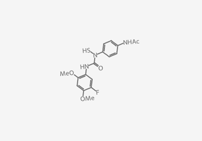 COc1cc(OC)c(NC(=O)N(S)c2ccc(NC(C)=O)cc2)cc1F